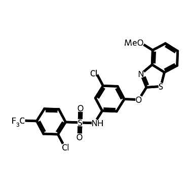 COc1cccc2sc(Oc3cc(Cl)cc(NS(=O)(=O)c4ccc(C(F)(F)F)cc4Cl)c3)nc12